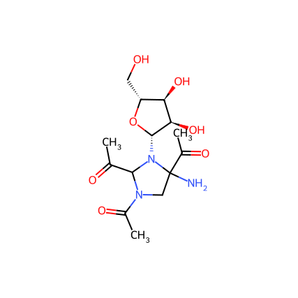 CC(=O)C1N(C(C)=O)CC(N)(C(C)=O)N1[C@@H]1O[C@H](CO)[C@@H](O)[C@H]1O